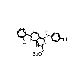 CC(C)COCc1nc(Nc2ccc(Cl)cc2)c2ccc(-c3ncccc3Cl)nc2n1